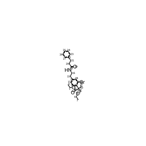 CCOP(=O)(OCC)C(F)(F)c1ccc(CCNC(=O)CCc2ccccc2)cc1Br